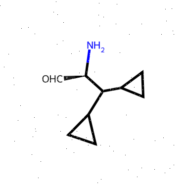 N[C@H](C=O)C(C1CC1)C1CC1